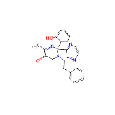 CC1=NC(c2cnccn2)(c2ccccc2O)N(CCc2ccccc2)CC1=O